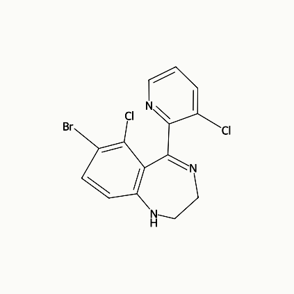 Clc1cccnc1C1=NCCNc2ccc(Br)c(Cl)c21